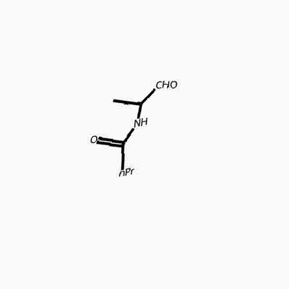 CCCC(=O)NC(C)C=O